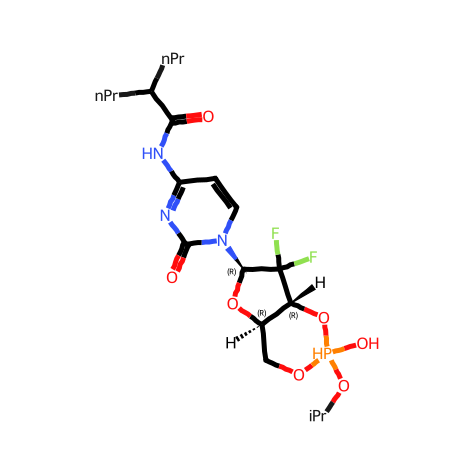 CCCC(CCC)C(=O)Nc1ccn([C@@H]2O[C@@H]3CO[PH](O)(OC(C)C)O[C@H]3C2(F)F)c(=O)n1